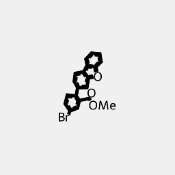 COC(=O)c1cc(Br)ccc1-c1ccc2c(c1)oc1ccccc12